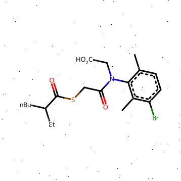 CCCCC(CC)C(=O)SCC(=O)N(CC(=O)O)c1c(C)ccc(Br)c1C